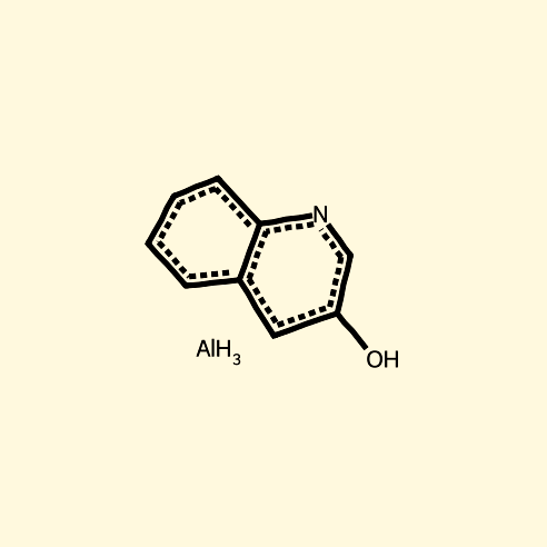 Oc1cnc2ccccc2c1.[AlH3]